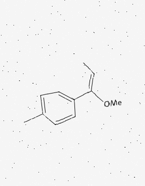 C/C=C(/OC)c1ccc(C)cc1